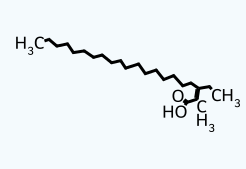 CCCCCCCCCCCCCCCCCCC(CC)=C(C)C(=O)O